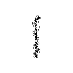 CC(=O)CNC(=O)CNC(=O)CNC(=O)COCC(=O)CCC(=O)CNC(=O)CNC(=O)CNC(=O)CN(C)CC(C)=O